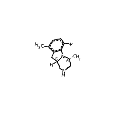 Cc1ccc(F)c2c1C[C@H]1CNC[C@@H](C)N21